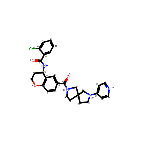 O=C(N[C@@H]1CCOc2ccc(C(=O)N3CCC4(CCN(c5ccncc5)C4)C3)cc21)c1ccccc1Cl